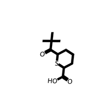 CC(C)(C)C(=O)C1CCCC(C(=O)O)S1